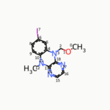 COCN1c2cc(I)ccc2N(C)c2nccnc21